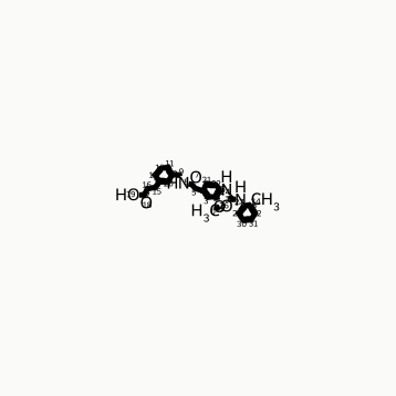 COc1cc(CC(=O)NCc2cccc(CCC(=O)O)c2)ccc1NC(=O)Nc1ccccc1C